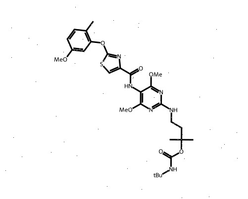 COc1ccc(C)c(Oc2nc(C(=O)Nc3c(OC)nc(NCCC(C)(C)OC(=O)NC(C)(C)C)nc3OC)cs2)c1